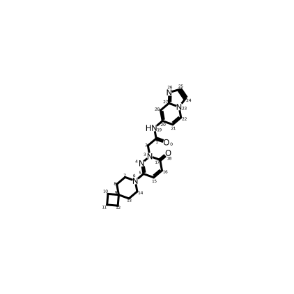 O=C(Cn1nc(N2CCC3(CCC3)CC2)ccc1=O)Nc1ccn2c#cnc2c1